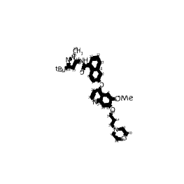 COc1cc2c(Oc3ccc4c(C(=O)Nc5cc(C(C)(C)C)nn5C)cccc4c3)ccnc2cc1OCCCN1CCOCC1